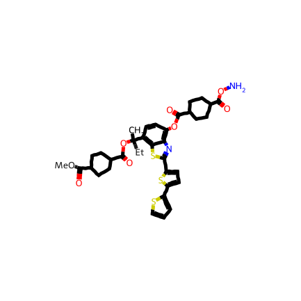 CCC(C)(OC(=O)C1CCC(C(=O)OC)CC1)c1ccc(OC(=O)C2CCC(C(=O)ON)CC2)c2nc(-c3ccc(-c4cccs4)s3)sc12